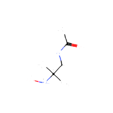 CCCC(=O)NCC(C)(C)NO